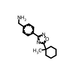 CC1(c2nc(-c3ccc(CN)cc3)no2)CCCCC1